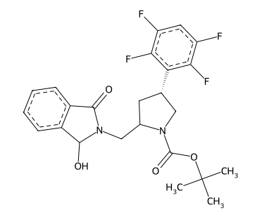 CC(C)(C)OC(=O)N1C[C@@H](c2c(F)c(F)cc(F)c2F)CC1CN1C(=O)c2ccccc2C1O